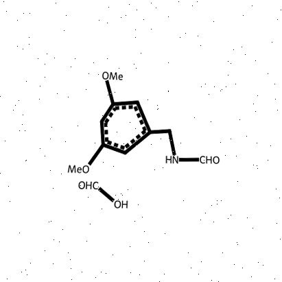 COc1cc(CNC=O)cc(OC)c1.O=CO